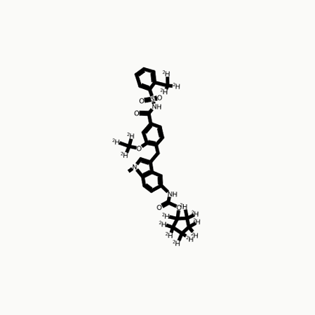 [2H]C([2H])([2H])Oc1cc(C(=O)NS(=O)(=O)c2ccccc2C([2H])([2H])[2H])ccc1Cc1cn(C)c2ccc(NC(=O)OC3([2H])C([2H])([2H])C([2H])([2H])C([2H])([2H])C3([2H])[2H])cc12